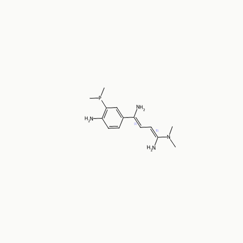 CN(C)/C(N)=C/C=C(\N)c1ccc(N)c(P(C)C)c1